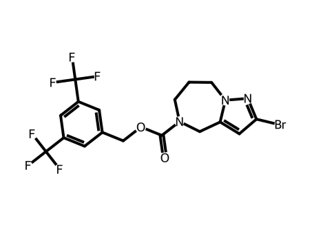 O=C(OCc1cc(C(F)(F)F)cc(C(F)(F)F)c1)N1CCCn2nc(Br)cc2C1